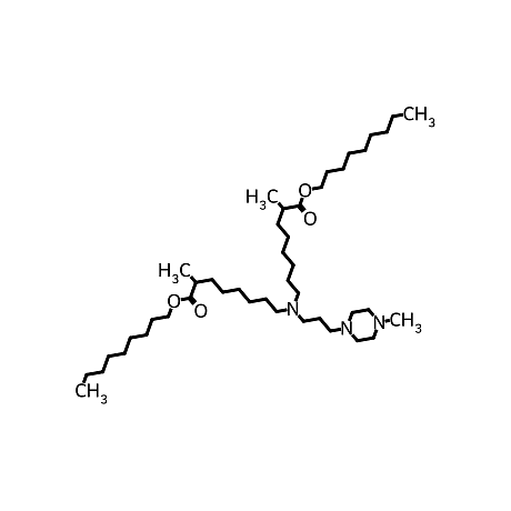 CCCCCCCCCOC(=O)C(C)CCCCCCN(CCCCCCC(C)C(=O)OCCCCCCCCC)CCCN1CCN(C)CC1